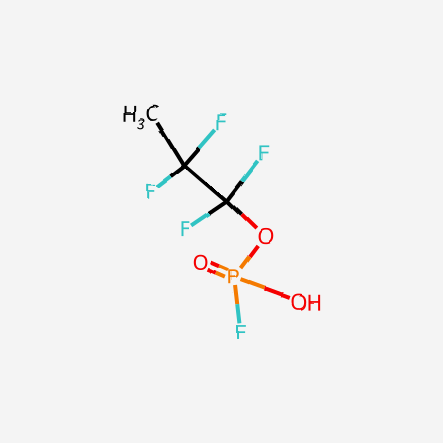 CC(F)(F)C(F)(F)OP(=O)(O)F